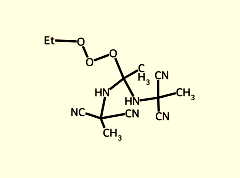 CCOOOC(C)(NC(C)(C#N)C#N)NC(C)(C#N)C#N